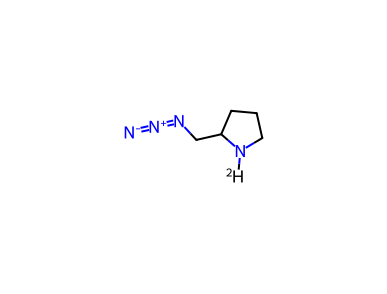 [2H]N1CCCC1CN=[N+]=[N-]